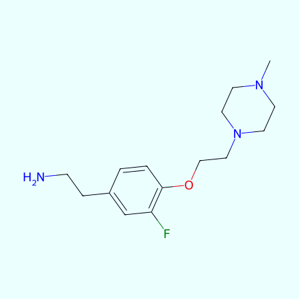 CN1CCN(CCOc2ccc(CCN)cc2F)CC1